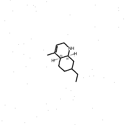 CCC1CC[C@H]2C(C)=CCN[C@H]2C1